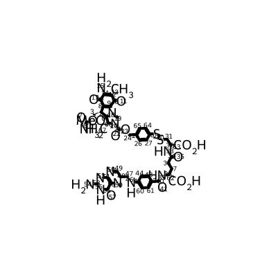 CO[C@@]12[C@H](COC(N)=O)C3=C(C(=O)C(C)=C(N)C3=O)N1CN(C(=O)OCc1ccc(SSC[C@H](NC(=O)CC[C@H](NC(=O)c3ccc(NCc4cnc5nc(N)[nH]c(=O)c5n4)cc3)C(=O)O)C(=O)O)cc1)[C@H]2C